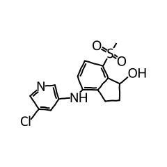 CS(=O)(=O)c1ccc(Nc2cncc(Cl)c2)c2c1C(O)CC2